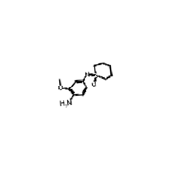 COc1cc(N=S2(=O)CCCCC2)ccc1N